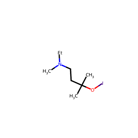 CCN(C)CCC(C)(C)OI